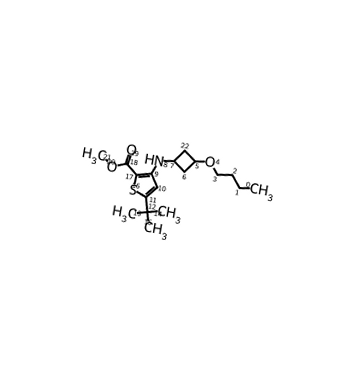 CCCCOC1CC(Nc2cc(C(C)(C)C)sc2C(=O)OC)C1